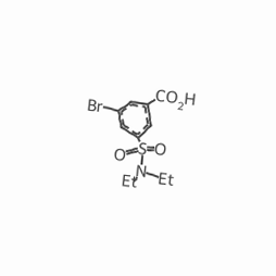 CCN(CC)S(=O)(=O)c1cc(Br)cc(C(=O)O)c1